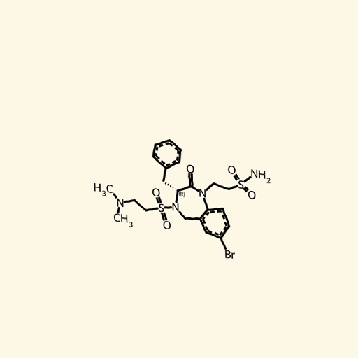 CN(C)CCS(=O)(=O)N1Cc2cc(Br)ccc2N(CCS(N)(=O)=O)C(=O)[C@H]1Cc1ccccc1